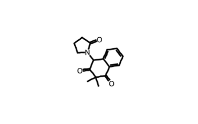 CC1(C)C(=O)c2ccccc2C(N2CCCC2=O)C1=O